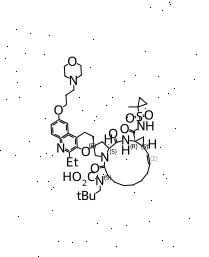 CCc1nc2ccc(OCCCN3CCOCC3)cc2c2c1O[C@]1(CC2)C[C@H]2C(=O)N[C@]3(C(=O)NS(=O)(=O)C4(C)CC4)C[C@H]3/C=C\CCCCC[C@H](N(CC(C)(C)C)C(=O)O)C(=O)N2C1